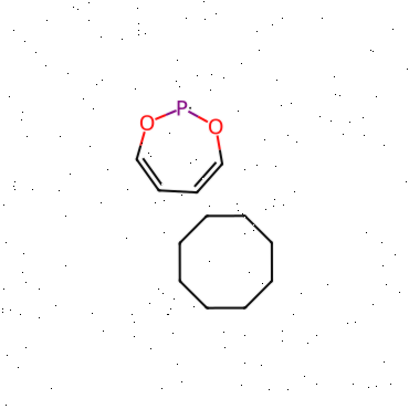 C1=CO[P]OC=C1.C1CCCCCCC1